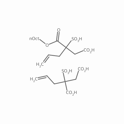 C=CCC(CC(=O)O)(C(=O)O)S(=O)(=O)O.C=CCC(CC(=O)O)(C(=O)OCCCCCCCC)S(=O)(=O)O